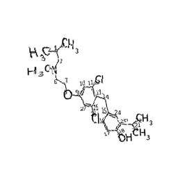 CC(C)CN(C)CCOc1cc(Cl)c(Cc2ccc(O)c(C(C)C)c2)c(Cl)c1